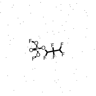 O=P(OF)(OF)OC(F)C(F)(F)C(F)F